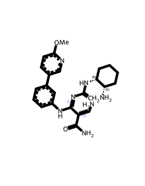 C=C(/N=C(Nc1cccc(-c2ccc(OC)nc2)c1)\C(=C/N)C(N)=O)N[C@@H]1CCCC[C@@H]1N